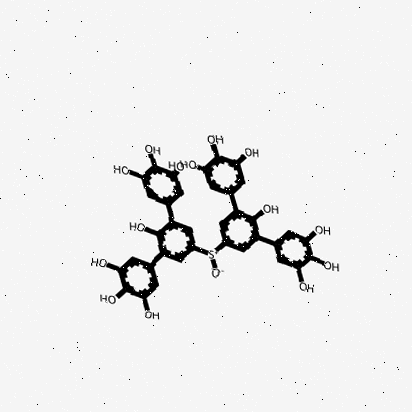 [O-][S+](c1cc(-c2cc(O)c(O)c(O)c2)c(O)c(-c2cc(O)c(O)c(O)c2)c1)c1cc(-c2cc(O)c(O)c(O)c2)c(O)c(-c2cc(O)c(O)c(O)c2)c1